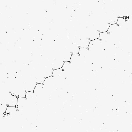 O=C(CCCCCCCCCCCCCCCCCCCCCCO)OCO